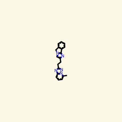 Cc1cccc2nc(CCc3cn4c(n3)-c3ccccc3C4)nn12